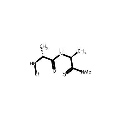 CCN[C@H](C)C(=O)N[C@@H](C)C(=O)NC